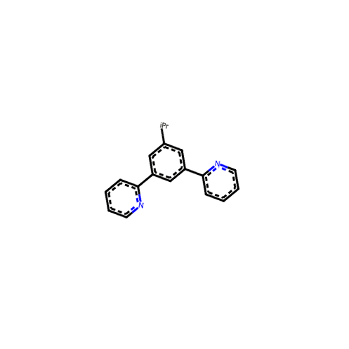 CC(C)c1cc(-c2ccccn2)cc(-c2ccccn2)c1